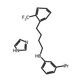 CC(C)c1cccc(BCCCCc2ccccc2C(F)(F)F)c1.c1c[nH]cn1